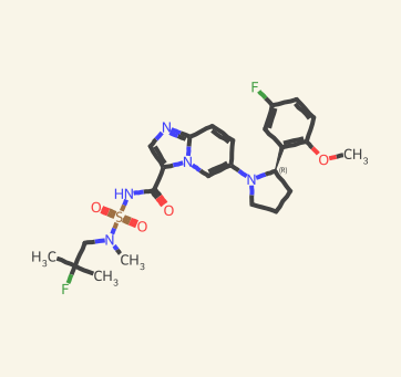 COc1ccc(F)cc1[C@H]1CCCN1c1ccc2ncc(C(=O)NS(=O)(=O)N(C)CC(C)(C)F)n2c1